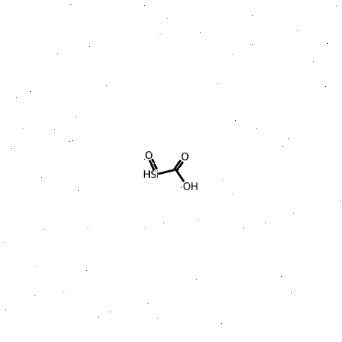 O=[SiH]C(=O)O